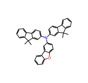 CC1(C)c2ccccc2-c2ccc(N(c3ccc4c(c3)C(C)(C)c3ccccc3-4)c3ccc4oc5ccccc5c4c3)cc21